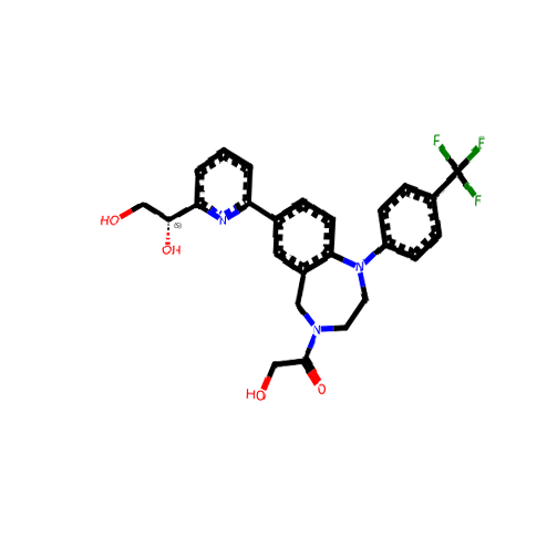 O=C(CO)N1CCN(c2ccc(C(F)(F)F)cc2)c2ccc(-c3cccc([C@H](O)CO)n3)cc2C1